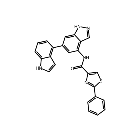 O=C(Nc1cc(-c2cccc3[nH]ccc23)cc2[nH]ncc12)c1csc(-c2ccccc2)n1